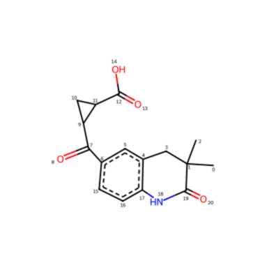 CC1(C)Cc2cc(C(=O)C3CC3C(=O)O)ccc2NC1=O